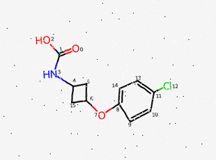 O=C(O)NC1CC(Oc2ccc(Cl)cc2)C1